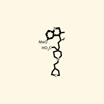 COc1ccc2ncc(C)c([C@@H](F)CCC3(CC(=O)O)CCN(CCC4CCCCC4)CC3)c2c1